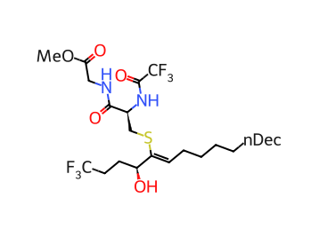 CCCCCCCCCCCCCCC=C(SC[C@H](NC(=O)C(F)(F)F)C(=O)NCC(=O)OC)[C@@H](O)CCC(F)(F)F